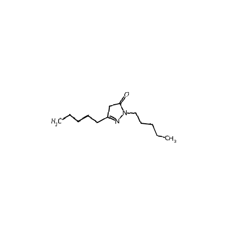 CCCCCC1=NN(CCCCC)C(=O)C1